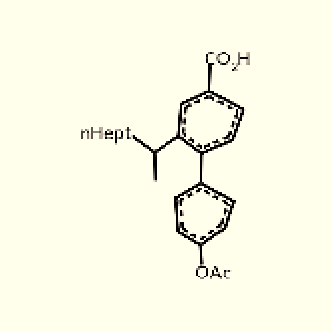 CCCCCCCC(C)c1cc(C(=O)O)ccc1-c1ccc(OC(C)=O)cc1